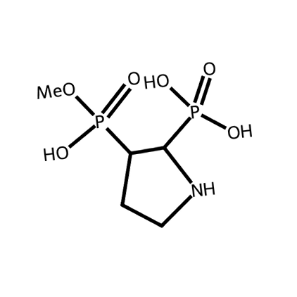 COP(=O)(O)C1CCNC1P(=O)(O)O